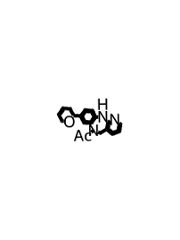 CC(=O)N1Cc2cccnc2Nc2ccc(C3CC=CCO3)cc21